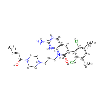 CC=CC(=O)N1CCN(CCCn2c(=O)c(-c3c(Cl)c(OC)cc(OC)c3Cl)cc3cnc(N)nc32)CC1